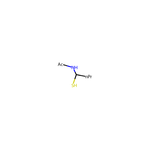 CCCC(S)NC(C)=O